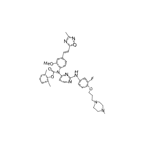 COc1cc(/C=C/c2nc(C)no2)ccc1N(C(=O)Oc1c(C)cccc1C)c1ccnc(Nc2ccc(OCCCN3CCN(C)CC3)c(F)c2)n1